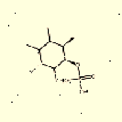 CC1C(C)[C@@H](C)[C@@H](OP(=O)(O)O)C(C)[C@@H]1C